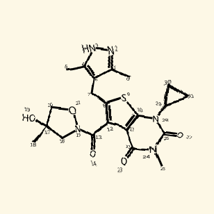 Cc1n[nH]c(C)c1Cc1sc2c(c1C(=O)N1C[C@](C)(O)CO1)c(=O)n(C)c(=O)n2C1CC1